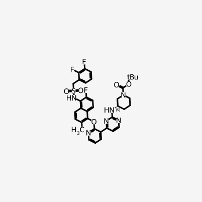 Cc1ccc2c(NS(=O)(=O)Cc3cccc(F)c3F)c(F)ccc2c1Oc1ncccc1-c1ccnc(N[C@H]2CCCN(C(=O)OC(C)(C)C)C2)n1